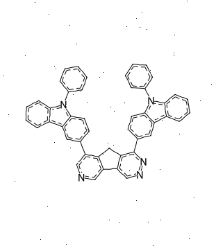 c1ccc(-n2c3ccccc3c3cc(-c4cncc5c4Cc4c-5cnnc4-c4ccc5c(c4)c4ccccc4n5-c4ccccc4)ccc32)cc1